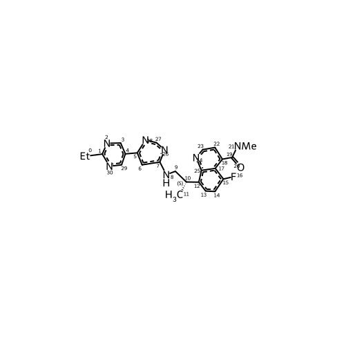 CCc1ncc(-c2cc(NC[C@@H](C)c3ccc(F)c4c(C(=O)NC)ccnc34)ncn2)cn1